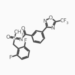 CS(=O)(Cc1c(F)cccc1F)=NC(=O)c1cccc(-c2noc(C(F)(F)F)n2)c1